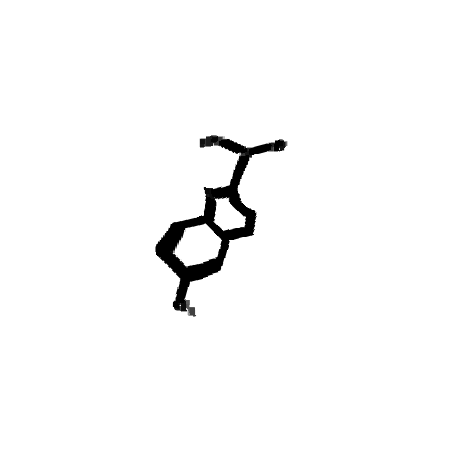 CCCN(CCC)c1ccc2cc(C(F)(F)F)ccc2n1